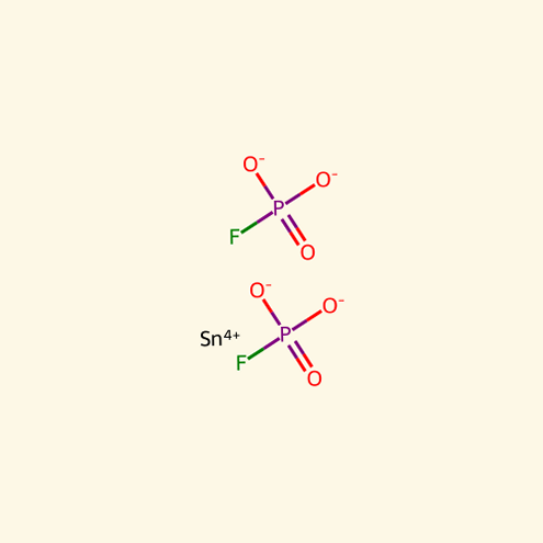 O=P([O-])([O-])F.O=P([O-])([O-])F.[Sn+4]